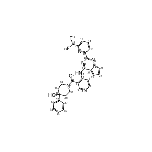 O=C(c1cnccc1Nc1nc(-c2cccc(C(F)F)n2)nn2cccc12)N1CCC(O)(c2ccccc2)CC1